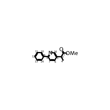 COC(=O)C(C)c1ccc(-c2ccccc2)nc1